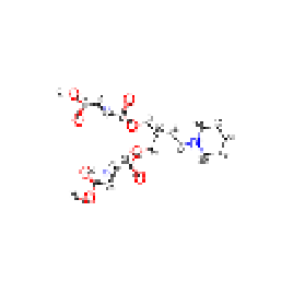 COC(=O)/C=C/C(=O)OCC(CCN1CCCCC1)COC(=O)/C=C/C(=O)OC